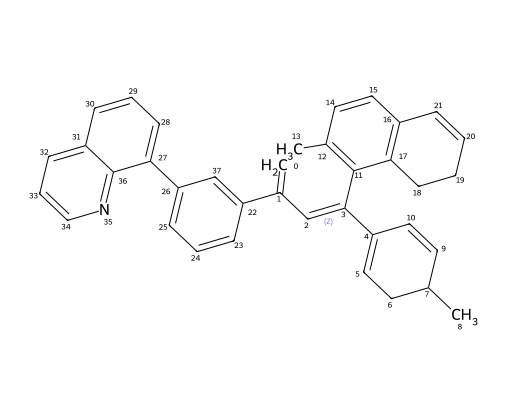 C=C(/C=C(/C1=CCC(C)C=C1)c1c(C)ccc2c1CCC=C2)c1cccc(-c2cccc3cccnc23)c1